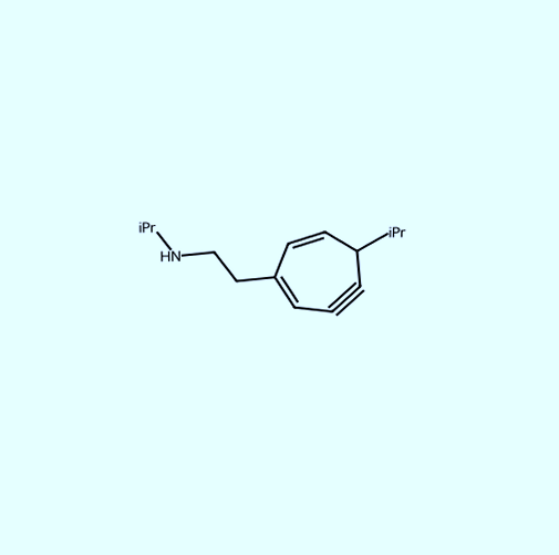 CC(C)NCCC1=CC#CC(C(C)C)C=C1